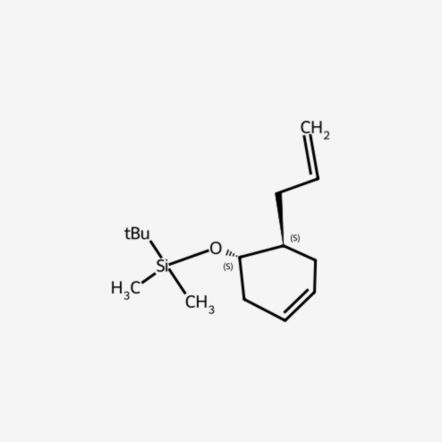 C=CC[C@H]1CC=CC[C@@H]1O[Si](C)(C)C(C)(C)C